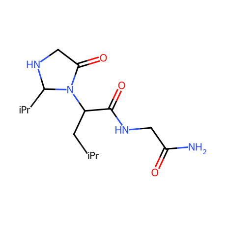 CC(C)CC(C(=O)NCC(N)=O)N1C(=O)CNC1C(C)C